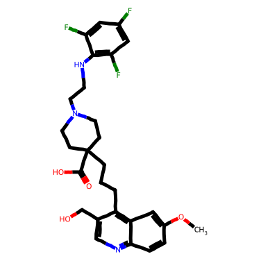 COc1ccc2ncc(CO)c(CCCC3(C(=O)O)CCN(CCNc4c(F)cc(F)cc4F)CC3)c2c1